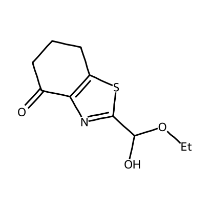 CCOC(O)c1nc2c(s1)CCCC2=O